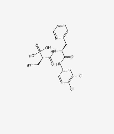 CC(C)C[C@H](C(=O)N[C@@H](Cc1ccccn1)C(=O)Nc1ccc(Cl)c(Cl)c1)P(=O)(O)O